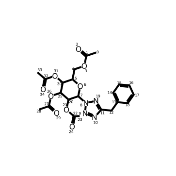 CC(=O)OCC1OC(n2nnc(Cc3ccccc3)n2)C(OC(C)=O)C(OC(C)=O)C1OC(C)=O